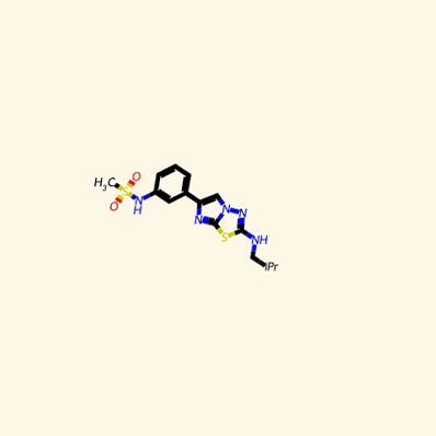 CC(C)CNc1nn2cc(-c3cccc(NS(C)(=O)=O)c3)nc2s1